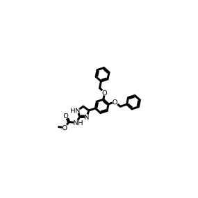 COC(=O)NC1=NC(c2ccc(OCc3ccccc3)c(OCc3ccccc3)c2)CN1